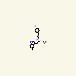 Cc1ccc2[nH]cc(CC(=NC=CCc3ccc(F)cc3)C(=O)O)c2c1